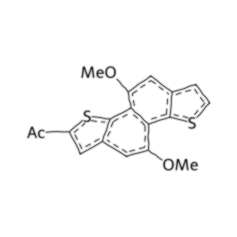 COc1cc2cc(C(C)=O)sc2c2c(OC)cc3ccsc3c12